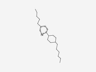 CCCCCCC1CCC(c2ccc(CCCCC)cn2)CC1